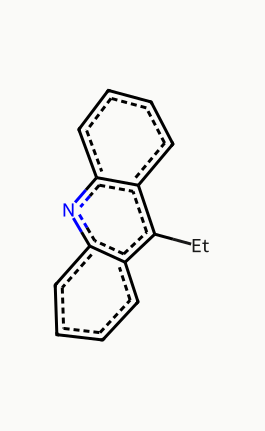 CCc1c2ccccc2nc2ccccc12